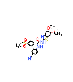 CCS(=O)(=O)c1ccc(C(Nc2ccc(C#N)cc2)C(=O)Nc2nc3cc(OC)c(OC)cc3s2)cc1